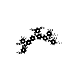 CC(C)(C)c1ccc(OP(Oc2ccc(C(C)(C)C)cc2C(C)(C)C)c2ccc(-c3ccc(P(Oc4ccc(C(C)(C)C)cc4C(C)(C)C)c4ccc(-c5ccc(P(Oc6ccc(C(C)(C)C)cc6C(C)(C)C)Oc6ccc(C(C)(C)C)cc6C(C)(C)C)cc5)cc4)cc3)cc2)c(C(C)(C)C)c1